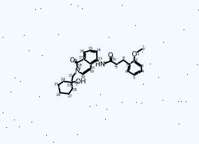 COc1ccccc1CCC(=O)Nc1cccc2c(=O)n(CC3(O)CCCCC3)ccc12